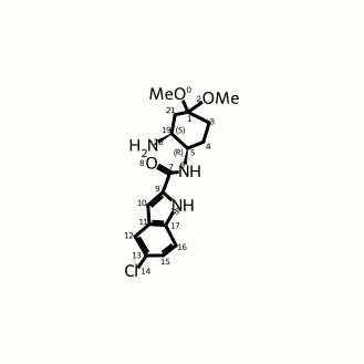 COC1(OC)CC[C@@H](NC(=O)c2cc3cc(Cl)ccc3[nH]2)[C@@H](N)C1